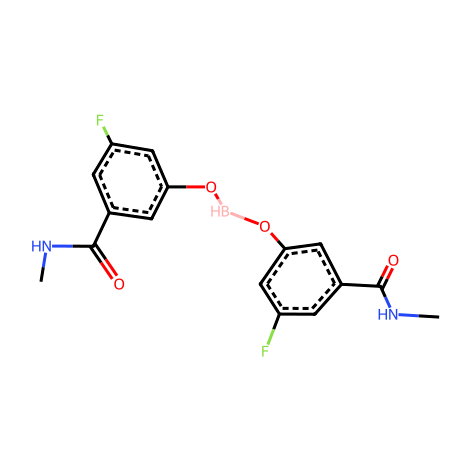 CNC(=O)c1cc(F)cc(OBOc2cc(F)cc(C(=O)NC)c2)c1